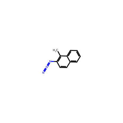 Cc1c(N=[N+]=[N-])ccc2ccccc12